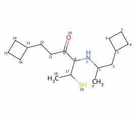 CC(CC1CCC1)NC(C(=O)CCC1CCC1)C(C)S